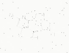 CN1CC2CCN(c3nc(Cl)cc(Cl)c3C(=O)O)C2C1